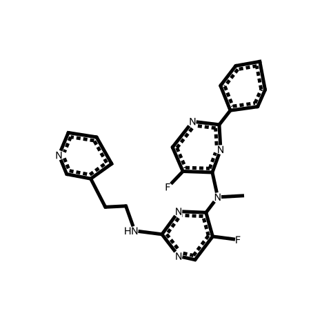 CN(c1nc(NCCc2cccnc2)ncc1F)c1nc(-c2ccccc2)ncc1F